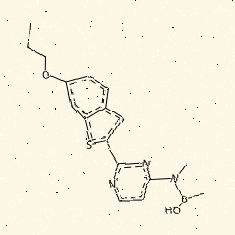 CCCOc1ccc2cc(-c3nccc(N(C)B(C)O)n3)sc2c1